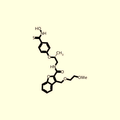 COCCOCc1c(C(=O)NC[C@@H](C)Oc2ccc(C(=S)NO)cc2)oc2ccccc12